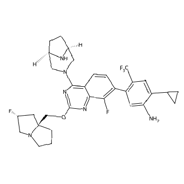 Nc1cc(-c2ccc3c(N4C[C@H]5CC[C@@H](C4)N5)nc(OC[C@@]45CCCN4C[C@H](F)C5)nc3c2F)c(C(F)(F)F)cc1C1CC1